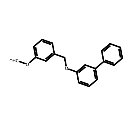 O=COc1cccc(COc2cccc(-c3ccccc3)c2)c1